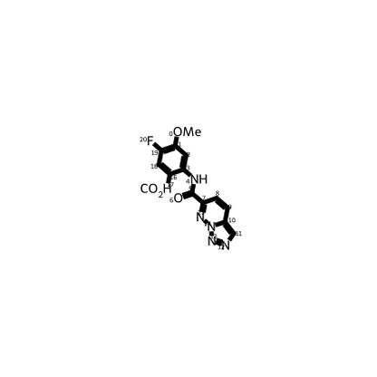 COc1cc(NC(=O)c2ccc3cnnn3n2)c(C(=O)O)cc1F